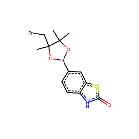 CC(C)CC1(C)OB(c2ccc3[nH]c(=O)sc3c2)OC1(C)C